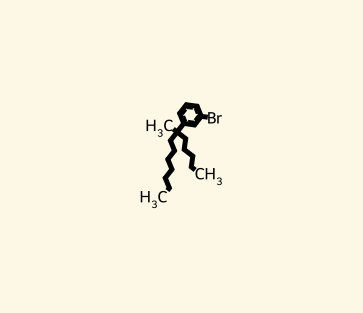 CCCCCCCC(C)(CCCCC)c1cccc(Br)c1